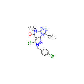 Cc1nnc2n(C)c(=O)c3c(Cl)n(Cc4ccc(Br)cc4)nc3n12